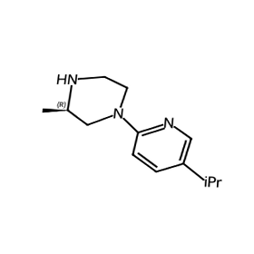 CC(C)c1ccc(N2CCN[C@H](C)C2)nc1